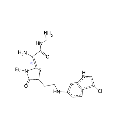 CCN1C(=O)C(CCNc2ccc3c(Cl)c[nH]c3c2)S/C1=C(/N)C(=O)NCN